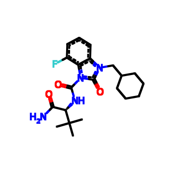 CC(C)(C)[C@H](NC(=O)n1c(=O)n(CC2CCCCC2)c2cccc(F)c21)C(N)=O